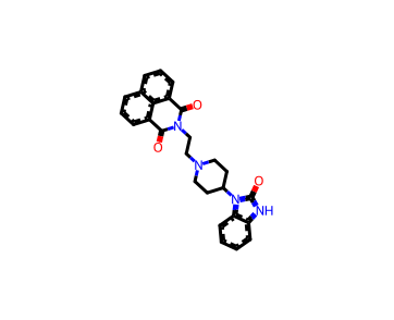 O=C1c2cccc3cccc(c23)C(=O)N1CCN1CCC(n2c(=O)[nH]c3ccccc32)CC1